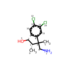 C[C@H](CO)C(C)(CN)c1ccc(Cl)c(Cl)c1